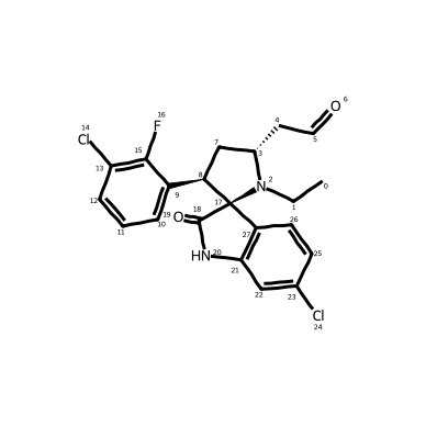 CCN1[C@@H](CC=O)C[C@H](c2cccc(Cl)c2F)[C@]12C(=O)Nc1cc(Cl)ccc12